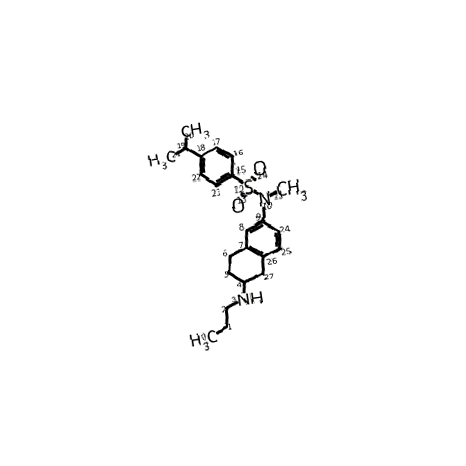 CCCNC1CCc2cc(N(C)S(=O)(=O)c3ccc(C(C)C)cc3)ccc2C1